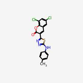 Cc1ccc(Nc2nnc(-c3cc4cc(Cl)cc(Cl)c4oc3=O)s2)cc1